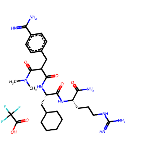 CN(C)C(=O)C(Cc1ccc(C(=N)N)cc1)C(=O)N[C@@H](CC1CCCCC1)C(=O)N[C@@H](CCCNC(=N)N)C(N)=O.O=C(O)C(F)(F)F